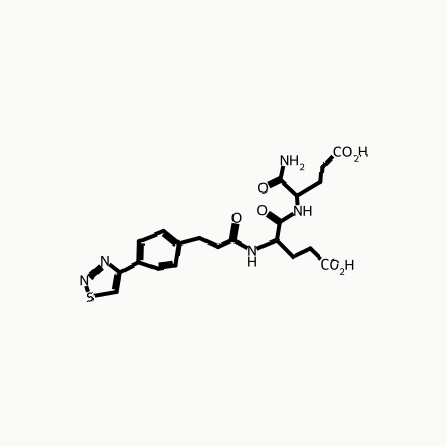 NC(=O)C(CCC(=O)O)NC(=O)C(CCC(=O)O)NC(=O)CCc1ccc(-c2csnn2)cc1